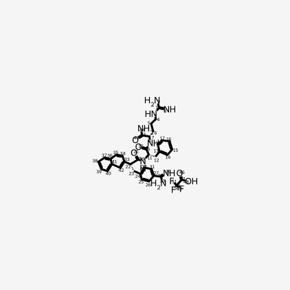 N=C(N)NCCC[C@H](NC(=O)[C@H](Cc1ccccc1)NC(=O)[C@H](Cc1ccc(C(=N)N)cc1)c1ccc2ccccc2c1)C(N)=O.O=C(O)C(F)(F)F